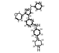 C1=COCC(c2nn(Cc3cccnc3)cc2-c2ccnc(Nc3ccc(N4CCNCC4)cc3)n2)=C1